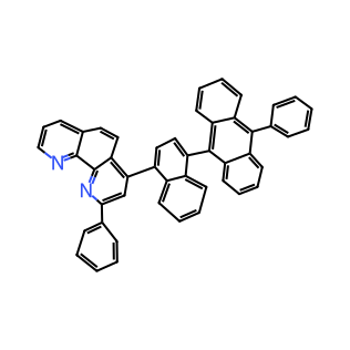 c1ccc(-c2cc(-c3ccc(-c4c5ccccc5c(-c5ccccc5)c5ccccc45)c4ccccc34)c3ccc4cccnc4c3n2)cc1